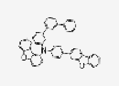 c1ccc(-c2cccc(-c3cccc(N(c4ccc(-c5ccc6c(c5)oc5ccccc56)cc4)c4cccc5oc6ccccc6c45)c3)c2)cc1